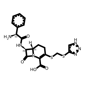 N[C@H](C(=O)N[C@@H]1C(=O)N2C(C(=O)O)=C(SCSc3c[nH]nn3)CC[C@@H]12)c1ccccc1